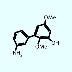 COc1cc(O)c(OC)c(-c2cccc(N)c2)c1